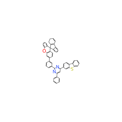 C1=CC2=C(CC1)C1(c3ccccc3Oc3cc(-c4cccc(-c5nc(-c6ccccc6)cc(-c6ccc7c(c6)sc6ccccc67)n5)c4)ccc31)c1ccccc12